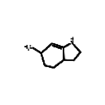 CC1C=C2NCCC2CC1